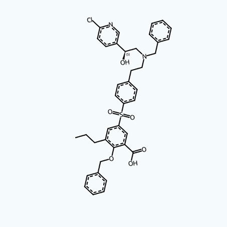 CCCc1cc(S(=O)(=O)c2ccc(CCN(Cc3ccccc3)C[C@@H](O)c3ccc(Cl)nc3)cc2)cc(C(=O)O)c1OCc1ccccc1